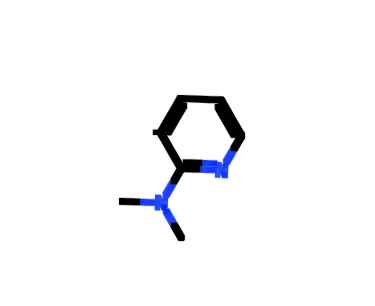 CN(C)c1[c]cccn1